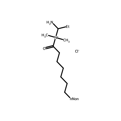 CCCCCCCCCCCCCCCC(=O)[N+](C)(C)C(N)CC.[Cl-]